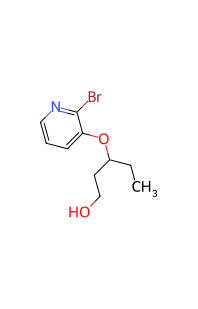 CCC(CCO)Oc1cccnc1Br